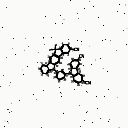 CC1(C)c2ccc(C#N)cc2-c2cc3c(cc21)c1ccccc1n3-c1cccc(-n2c3ccc(C#N)cc3c3cc(C#N)ccc32)c1